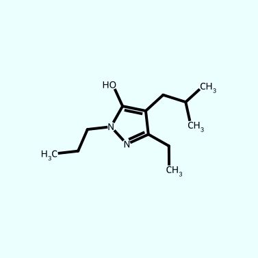 CCCn1nc(CC)c(CC(C)C)c1O